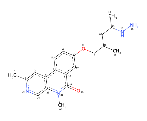 Cc1cc2c3ccc(OCC(C)CC(C)NN)cc3c(=O)n(C)c2cn1